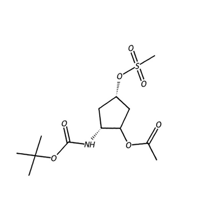 CC(=O)OC1C[C@@H](OS(C)(=O)=O)C[C@H]1NC(=O)OC(C)(C)C